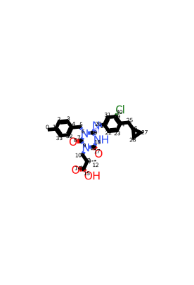 Cc1ccc(Cn2c(=O)n(C[C@H](C)C(=O)O)c(=O)[nH]/c2=N\c2ccc(CC3CC3)c(Cl)c2)cc1